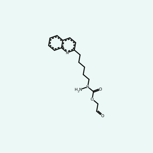 NN(CCCCCc1ccc2ccccc2n1)C(=O)OCC=O